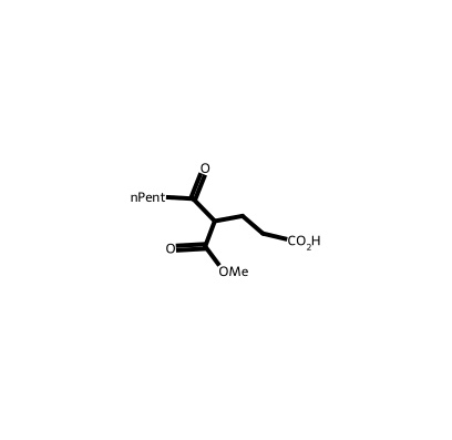 CCCCCC(=O)C(CCC(=O)O)C(=O)OC